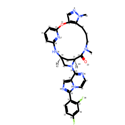 CN1CCCc2c(cnn2C)Oc2cccc(n2)N[C@H]2C[C@@H](C1=O)N(c1nccn3c(-c4ccc(F)cc4F)ncc13)C2